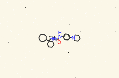 CC1(C2CCCCCC2)CCCCC1NC(=O)Nc1ccc(N2CCCCC2)cc1